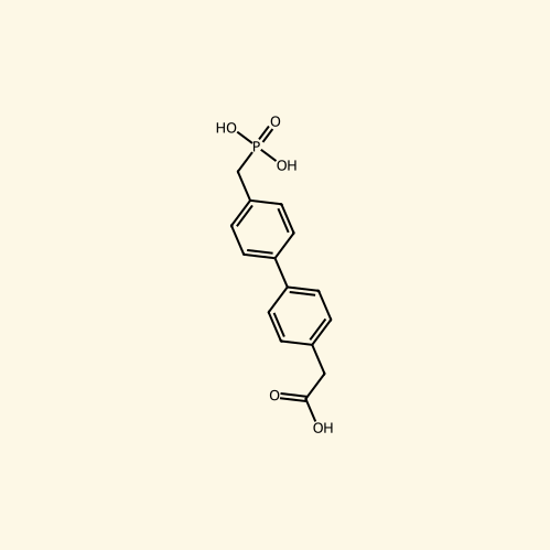 O=C(O)Cc1ccc(-c2ccc(CP(=O)(O)O)cc2)cc1